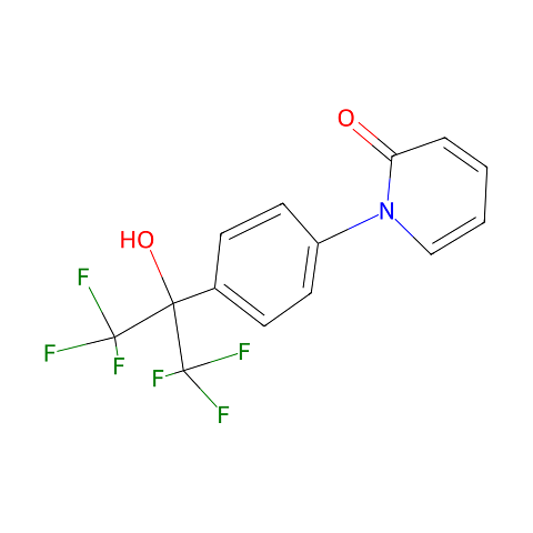 O=c1ccccn1-c1ccc(C(O)(C(F)(F)F)C(F)(F)F)cc1